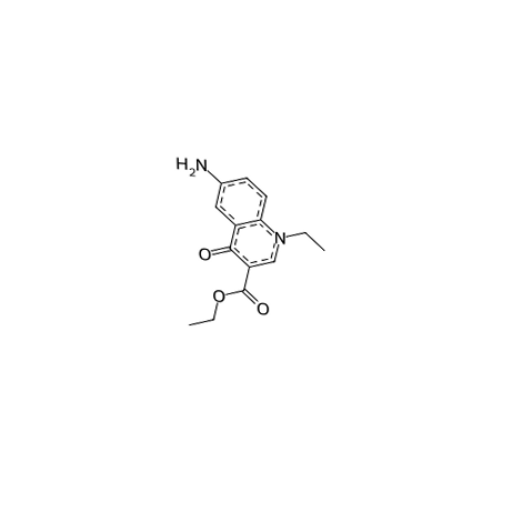 CCOC(=O)c1cn(CC)c2ccc(N)cc2c1=O